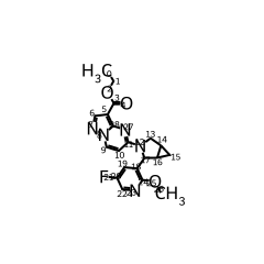 CCOC(=O)c1cnn2ccc(N3CC4CC4C3c3cc(F)cnc3OC)nc12